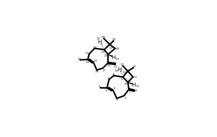 C=C1CC/C=C(\C)CC[C@@H]2[C@@H]1CC2(C)C.C=C1CC/C=C(\C)CC[C@@H]2[C@@H]1CC2(C)C